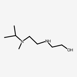 CC(C)N(C)CCNCCO